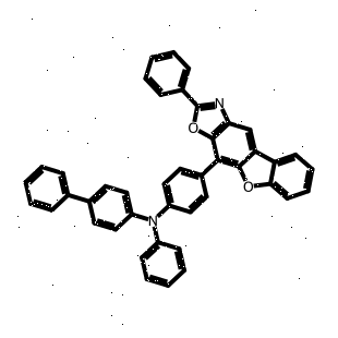 c1ccc(-c2ccc(N(c3ccccc3)c3ccc(-c4c5oc(-c6ccccc6)nc5cc5c4oc4ccccc45)cc3)cc2)cc1